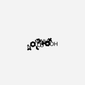 CCC[C@@H]1C[C@H](N(C)C(C)C)CC[C@@H]1N1CC[C@H](NC(=O)c2ccc(O)c(C(C)(C)C)c2)C1=O